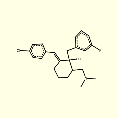 CN(C)CC1CCCC(=Cc2ccc(Cl)cc2)C1(O)Cc1cccc(F)c1